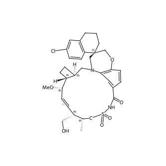 CO[C@H]1/C=C/[C@@H](CO)[C@@H](C)CS(=O)(=O)NC(=O)c2ccc3c(c2)N(C[C@@H]2CC[C@H]21)C[C@@]1(CCCc2cc(Cl)ccc21)CO3